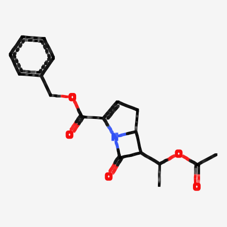 CC(=O)OC(C)C1C(=O)N2C(C(=O)OCc3ccccc3)=CCC12